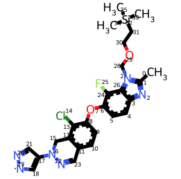 Cc1nc2ccc(Oc3ccc4c(c3Cl)CN(C3=C[N]N=C3)N=C4)c(F)c2n1COCC[Si](C)(C)C